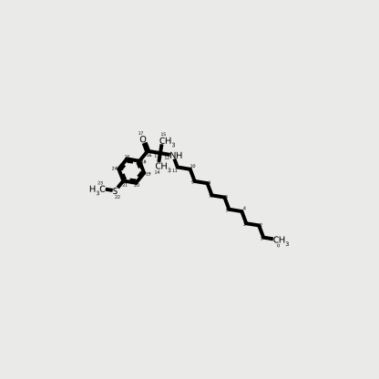 CCCCCCCCCCCCNC(C)(C)C(=O)c1ccc(SC)cc1